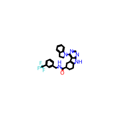 O=C(NCc1cccc(C(F)(F)F)c1)C1CCc2[nH]c3ncnc(N4CCc5ccccc54)c3c2C1